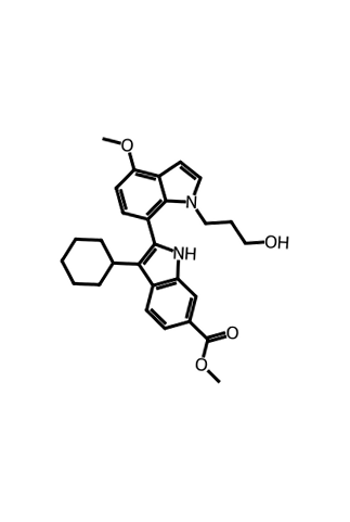 COC(=O)c1ccc2c(C3CCCCC3)c(-c3ccc(OC)c4ccn(CCCO)c34)[nH]c2c1